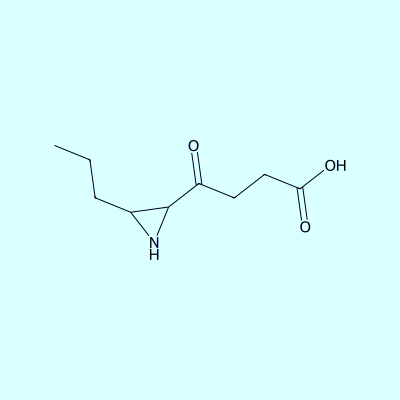 CCCC1NC1C(=O)CCC(=O)O